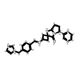 O=C1N2C(CC[C@H]2c2cnccn2)OC12CC(OCc1ccc(Cn3ccnc3)cc1)C2